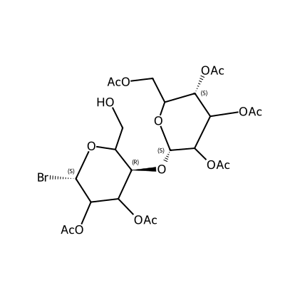 CC(=O)OCC1O[C@@H](O[C@@H]2C(CO)O[C@@H](Br)C(OC(C)=O)C2OC(C)=O)C(OC(C)=O)C(OC(C)=O)[C@H]1OC(C)=O